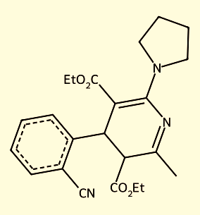 CCOC(=O)C1=C(N2CCCC2)N=C(C)C(C(=O)OCC)C1c1ccccc1C#N